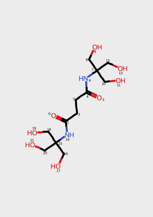 O=C(CCC(=O)NC(CO)(CO)CO)NC(CO)(CO)CO